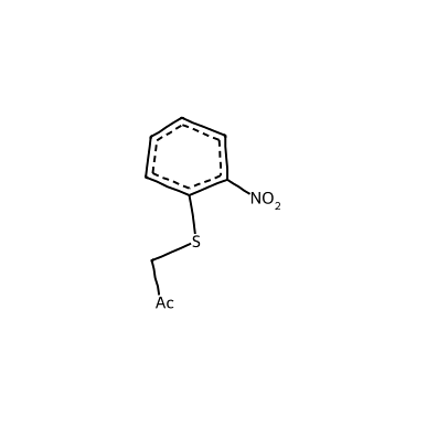 CC(=O)CSc1ccccc1[N+](=O)[O-]